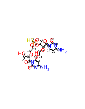 Nc1ccn([C@@H]2OCC(O)[C@@H]2OCCOP(=O)(S)OC2CO[C@@H](n3ccc(N)nc3=O)[C@H]2OCCO)c(=O)n1